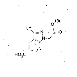 CC(C)(C)OC(=O)Cn1nc(C#N)c2cc(C(=O)O)cnc21